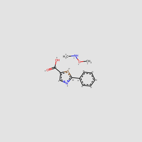 CNOC.O=C(O)c1cnc(-c2ccccc2)s1